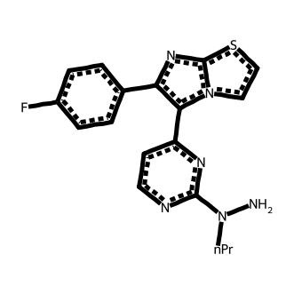 CCCN(N)c1nccc(-c2c(-c3ccc(F)cc3)nc3sccn23)n1